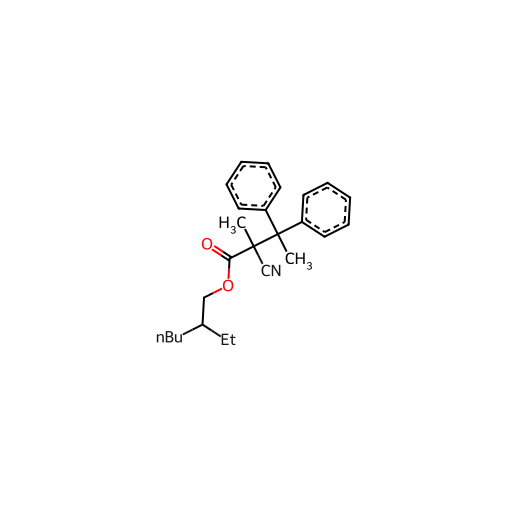 CCCCC(CC)COC(=O)C(C)(C#N)C(C)(c1ccccc1)c1ccccc1